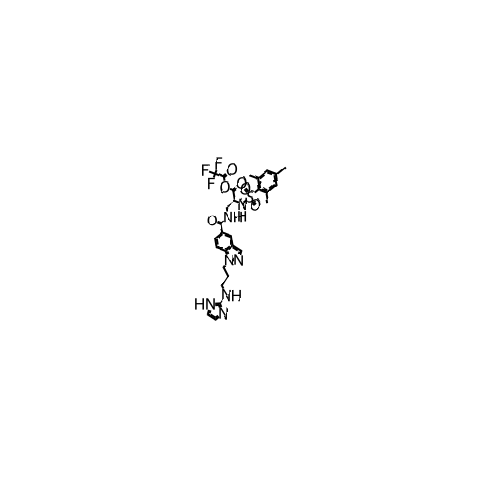 Cc1cc(C)c(S(=O)(=O)N[C@@H](CNC(=O)c2ccc3c(cnn3CCCNc3ncc[nH]3)c2)C(=O)OC(=O)C(F)(F)F)c(C)c1